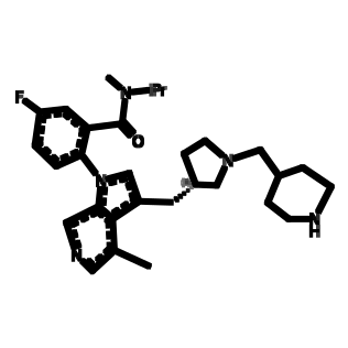 Cc1cncc2c1c(C[C@@H]1CCN(CC3CCNCC3)C1)cn2-c1ccc(F)cc1C(=O)N(C)C(C)C